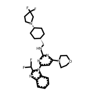 FC(F)c1nc2ccccc2n1-c1cc(N2CCOCC2)nc(NC[C@H]2CC[C@@H](N3CCC(F)(F)C3)CC2)n1